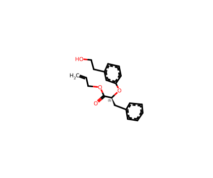 C=CCOC(=O)[C@H](Cc1ccccc1)Oc1cccc(CCO)c1